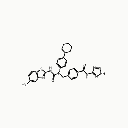 CC(C)(C)c1ccc2sc(NC(=O)N(Cc3ccc(C(=O)Nc4nn[nH]n4)cc3)c3ccc(C4CCCCC4)cc3)nc2c1